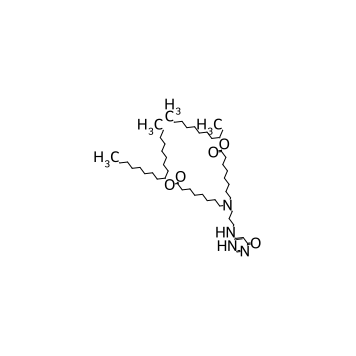 CCCCCCCCC(CC)OC(=O)CCCCCCCN(CCCCCCCC(=O)OC(CCCCCCCC)CCCCCCCC)CCCNc1cc(=O)nc[nH]1